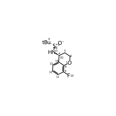 CC(C)(C)[S@+]([O-])N[C@H]1CCOc2c(F)cccc21